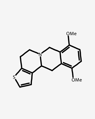 COc1ccc(OC)c2c1CC1c3ccsc3CCN1C2